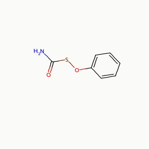 NC(=O)SOc1ccccc1